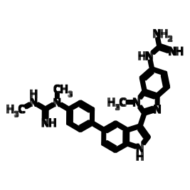 CNC(=N)N(C)c1ccc(-c2ccc3[nH]cc(-c4nc5ccc(NC(=N)N)cc5n4C)c3c2)cc1